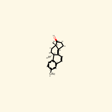 CC(=O)Oc1ccc2c(c1)C=CC1=C3CCC(=O)[C@@]3(C)CC[C@@H]12